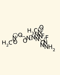 C=CC(=O)N1CCCC(OCCC(=O)N2CCN(c3nc(-c4cnc(N)nc4C(F)F)nc(N4CCOCC4C)n3)CC2)C1